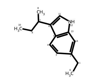 CCc1ccc2c(C(C)CC)c[nH]c2c1